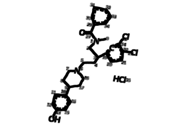 CN(CC(CCN1CCC(c2ccc(O)cc2)CC1)c1ccc(Cl)c(Cl)c1)C(=O)c1ccccc1.Cl